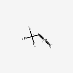 [N-]=[N+]=[C]C(F)(F)F